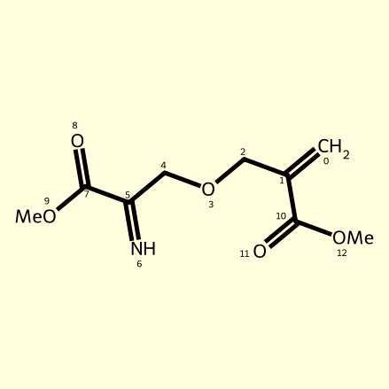 C=C(COCC(=N)C(=O)OC)C(=O)OC